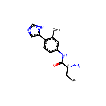 COc1cc(NC(=O)[C@H](N)CC(C)C)ccc1-c1cnc[nH]1